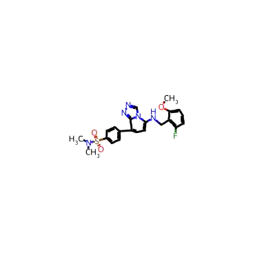 COc1cccc(F)c1CNc1ccc(-c2ccc(S(=O)(=O)N(C)C)cc2)c2nncn12